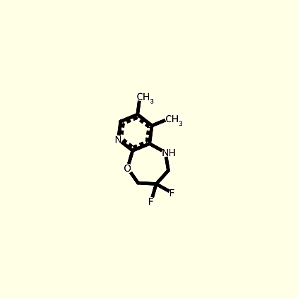 Cc1cnc2c(c1C)NCC(F)(F)CO2